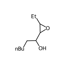 CCCCCC(O)C1OC1CC